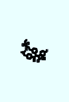 CCS(=O)(=O)NCCc1cccc(/C(Nc2ccc(CN(C)C)cc2)=C2/C(=O)Nc3cc(F)ccc32)c1